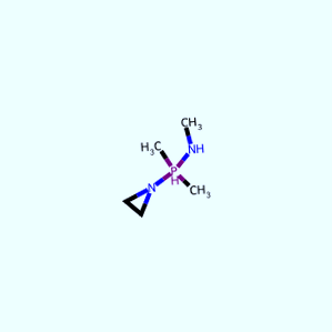 CN[PH](C)(C)N1CC1